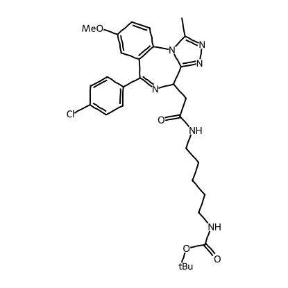 COc1ccc2c(c1)C(c1ccc(Cl)cc1)=NC(CC(=O)NCCCCCNC(=O)OC(C)(C)C)c1nnc(C)n1-2